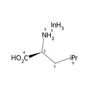 CC(C)C[C@H](N)C(=O)O.[InH3]